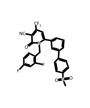 CS(=O)(=O)c1ccc(-c2cccc(-c3cc(C(F)(F)F)c(C#N)c(=O)n3Cc3ccc(F)cc3F)c2)cc1